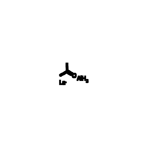 CC(C)=O.[AlH3].[La]